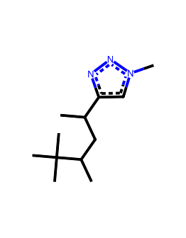 CC(CC(C)C(C)(C)C)c1cn(C)nn1